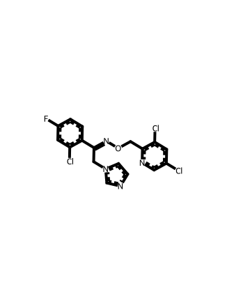 Fc1ccc(C(Cn2ccnc2)=NOCc2ncc(Cl)cc2Cl)c(Cl)c1